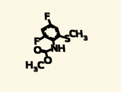 COC(=O)Nc1c(F)cc(F)cc1SC